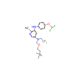 C[Si](C)(C)CCOCN(CC(F)(F)F)c1cnc(C#N)c(Nc2ccc(OC(F)F)cc2)c1